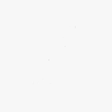 O=C(O)CCCC(O)CCCC(=O)O